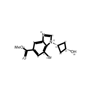 COC(=O)c1cc(Br)c2c(c1)ncn2[C@H]1C[C@@H](O)C1